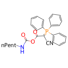 CCCCCNC(=O)OC(=O)C(C#N)=P(c1ccccc1)(c1ccccc1)c1ccccc1